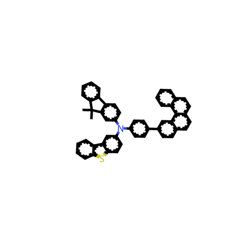 CC1(C)c2ccccc2-c2ccc(N(c3ccc(-c4ccc5ccc6ccc7ccccc7c6c5c4)cc3)c3ccc4sc5ccccc5c4c3)cc21